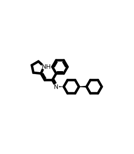 C(=C1CCCN1)C(=N[C@H]1CC[C@H](C2CCCCC2)CC1)c1ccccc1